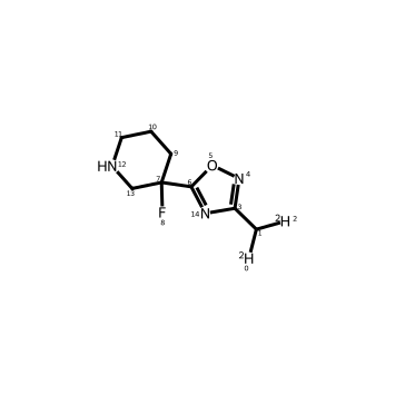 [2H]C([2H])c1noc(C2(F)CCCNC2)n1